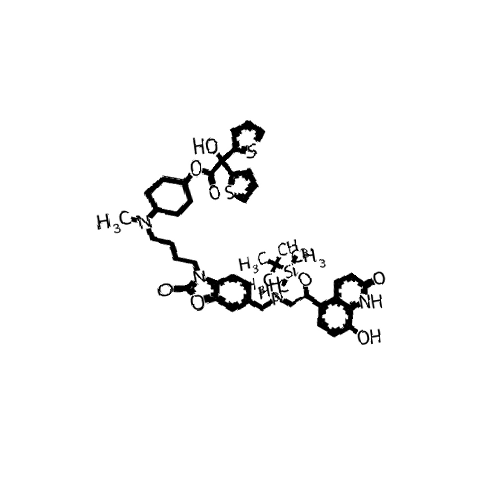 CN(CCCCn1c(=O)oc2cc(CNC[C@@H](O[Si](C)(C)C(C)(C)C)c3ccc(O)c4[nH]c(=O)ccc34)ccc21)C1CCC(OC(=O)C(O)(c2cccs2)c2cccs2)CC1